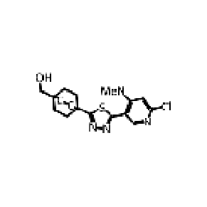 CNc1cc(Cl)ncc1-c1nnc(C23CCC(CO)(CC2)CC3)s1